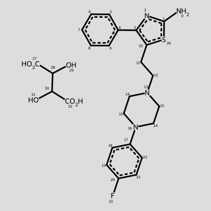 Nc1nc(-c2ccccc2)c(CCN2CCN(c3ccc(F)cc3)CC2)s1.O=C(O)C(O)C(O)C(=O)O